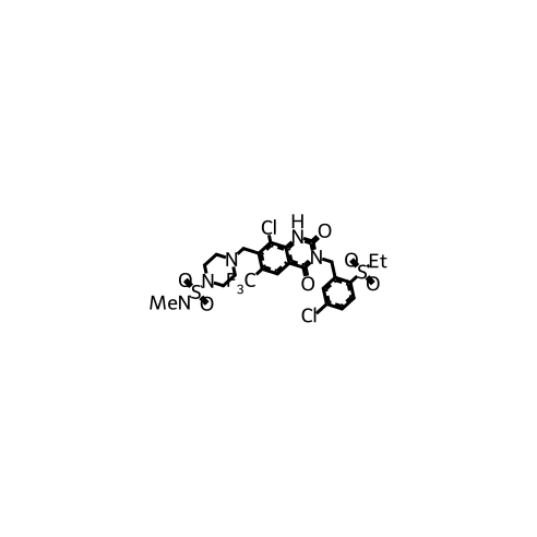 CCS(=O)(=O)c1ccc(Cl)cc1Cn1c(=O)[nH]c2c(Cl)c(CN3CCN(S(=O)(=O)NC)CC3)c(C(F)(F)F)cc2c1=O